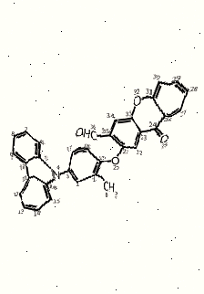 Cc1cc(-n2c3ccccc3c3ccccc32)ccc1Oc1cc2c(=O)c3ccccc3oc2cc1C=O